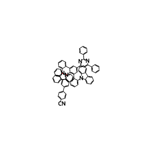 N#Cc1ccc(-c2ccc3c(c2)c2ccccc2n3-c2c(-c3ccccc3-n3c4ccccc4c4ccccc43)cc(-c3cc(-c4ccccc4)nc(-c4ccccc4)n3)cc2-c2ccccc2-n2c3ccccc3c3ccccc32)cc1